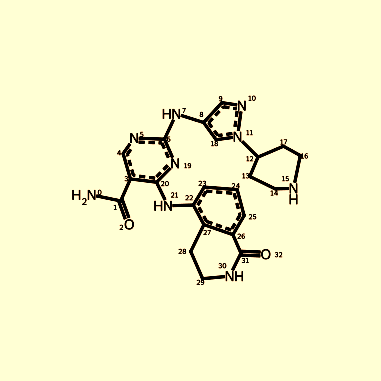 NC(=O)c1cnc(Nc2cnn(C3CCNCC3)c2)nc1Nc1cccc2c1CCNC2=O